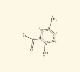 CCC(=O)c1nc(C)ccc1O